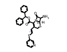 NC1C(=O)N2C(C(=O)OC(c3ccccc3)c3ccccc3)=C(/C=C/Sc3cccnc3)CS[C@H]12